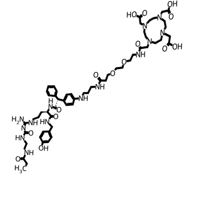 CCC(=O)NCCNC(=O)/N=C(/N)NCCC[C@@H](NC(=O)[C@H](c1ccccc1)c1ccc(NCCCNC(=O)CCOCCOCCNC(=O)CN2CCN(CC(=O)O)CCN(CC(=O)O)CCN(CC(=O)O)CC2)cc1)C(=O)NCc1ccc(O)cc1